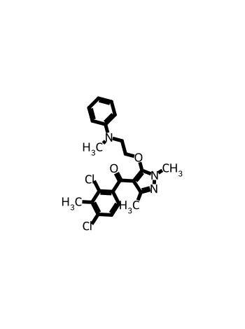 Cc1nn(C)c(OCCN(C)c2ccccc2)c1C(=O)c1ccc(Cl)c(C)c1Cl